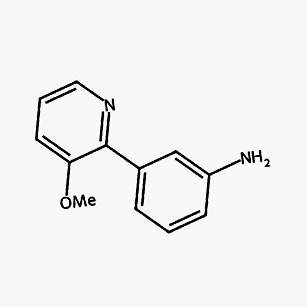 COc1cccnc1-c1cccc(N)c1